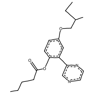 CCCCC(=O)Oc1ccc(OCC(C)CC)cc1-c1cnccn1